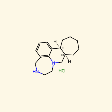 Cl.c1cc2c3c(c1)[C@H]1CCCCC[C@H]1CN3CCNC2